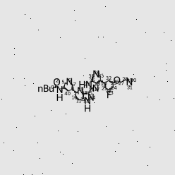 CCCCC(=O)Nc1cncc(-c2ccc3[nH]nc(-c4nc5c(-c6cc(F)cc(OCCN(C)C)c6)cncc5[nH]4)c3n2)c1